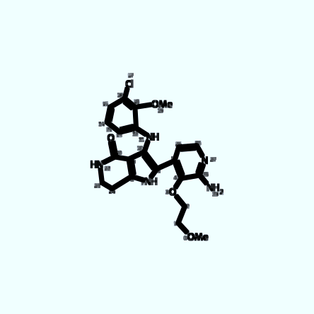 COCCOc1c(-c2[nH]c3c(c2Nc2cccc(Cl)c2OC)C(=O)NCC3)ccnc1N